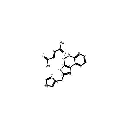 O=C(O)C=CC(=O)O.c1ccc2c(c1)OCc1sc(Cc3c[nH]cn3)nc1-2